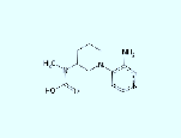 CN(C(=O)O)C1CCCN(c2ccncc2N)C1